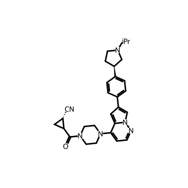 CC(C)N1CC[C@H](c2ccc(-c3cc4c(N5CCN(C(=O)C6C[C@@H]6C#N)CC5)ccnn4c3)cc2)C1